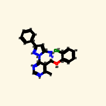 Cc1ncnc(-n2nc(-c3ccccc3)cc2N)c1COc1ccccc1Cl